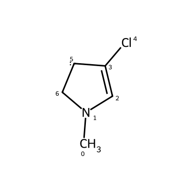 CN1C=C(Cl)[C]C1